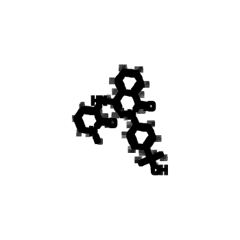 Cn1cccc(Nc2nn(-c3ccc(C(C)(C)O)cc3)c(=O)c3ccccc23)c1=O